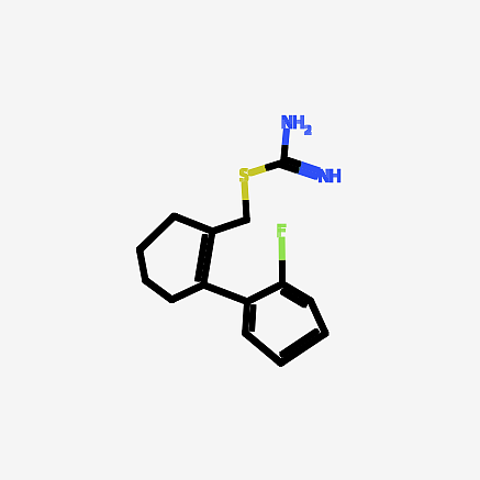 N=C(N)SCC1=C(c2ccccc2F)CCCC1